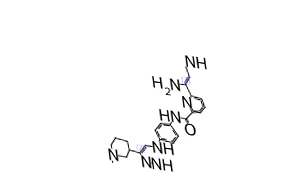 CN1CCCC(/C(=C/Nc2ccc(NC(=O)c3cccc(/C(N)=C/C=N)n3)cc2)N=N)C1